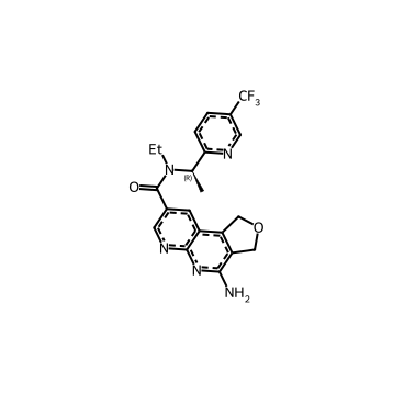 CCN(C(=O)c1cnc2nc(N)c3c(c2c1)COC3)[C@H](C)c1ccc(C(F)(F)F)cn1